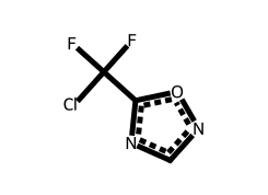 FC(F)(Cl)c1ncno1